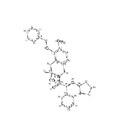 COc1ccc2c(c1OCc1ccccc1)CC(C)(C(=O)O)N(C(=O)[C@@H](OC1CCCC1)c1ccccc1)C2